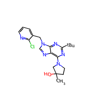 CC1(O)CCN(c2nc(C(C)(C)C)nc3c2ncn3Cc2cccnc2Cl)C1